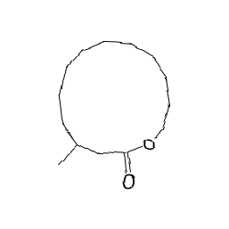 CC1CCCCCCCCCCOC(=O)C1